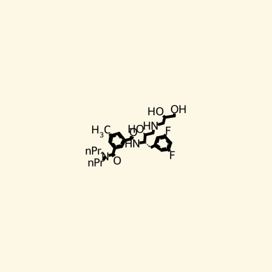 CCCN(CCC)C(=O)c1cc(C)cc(C(=O)N[C@@H](Cc2cc(F)cc(F)c2)[C@H](O)CNCC(O)CO)c1